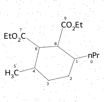 CCCC1CCC(C)C(C(=O)OCC)C1C(=O)OCC